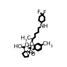 Cc1ccc(S(=O)(=O)N2CCC[C@H]2C(=O)O)c(O[C@@H](C)CCCCNC2CCC(F)(F)CC2)c1